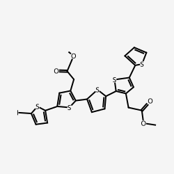 COC(=O)Cc1cc(-c2cccs2)sc1-c1ccc(-c2sc(-c3ccc(I)s3)cc2CC(=O)OC)s1